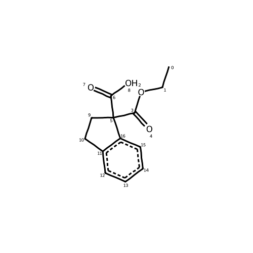 CCOC(=O)C1(C(=O)O)CCc2ccccc21